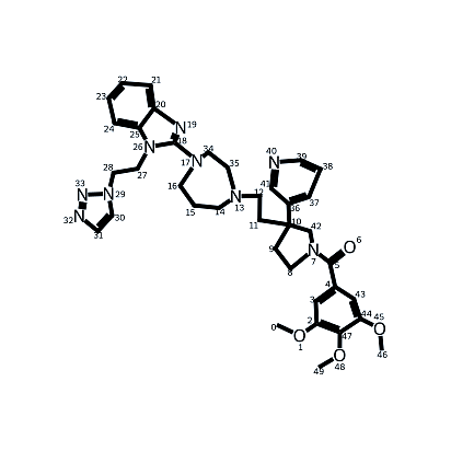 COc1cc(C(=O)N2CCC(CCN3CCCN(c4nc5ccccc5n4CCn4ccnn4)CC3)(c3cccnc3)C2)cc(OC)c1OC